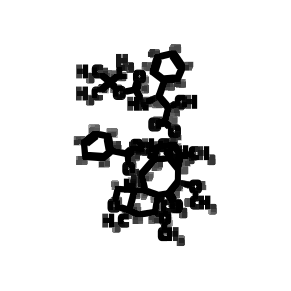 CO[C@H]1C(=O)[C@@]2(C)[C@@H]([C@@H]3CO[C@]3(C)C[C@@H]2OC)[C@H](OC(=O)c2ccccc2)[C@]2(O)C[C@H](OC(=O)[C@H](O)[C@@H](NC(=O)OC(C)(C)C)c3ccccc3)C(C)=C1C2(C)C